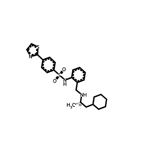 C[C@@H](CC1CCCCC1)NCc1ccccc1NS(=O)(=O)c1ccc(-c2nccs2)cc1